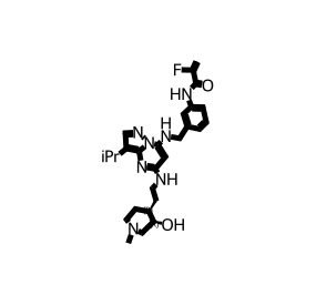 C=C(F)C(=O)Nc1cccc(CNc2cc(NCC[C@@H]3CCN(C)C[C@@H]3O)nc3c(C(C)C)cnn23)c1